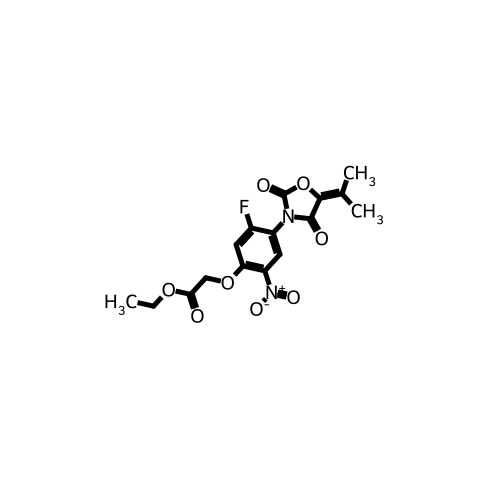 CCOC(=O)COc1cc(F)c(N2C(=O)OC(=C(C)C)C2=O)cc1[N+](=O)[O-]